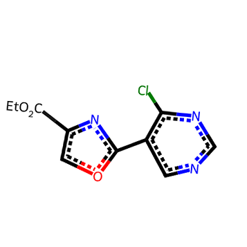 CCOC(=O)c1coc(-c2cncnc2Cl)n1